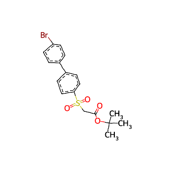 CC(C)(C)OC(=O)CS(=O)(=O)c1ccc(-c2ccc(Br)cc2)cc1